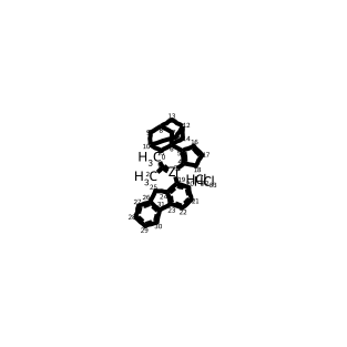 C[C](C)=[Zr]([C]1=C(C23CC4CC(CC(C4)C2)C3)C=CC1)[c]1cccc2c1Cc1ccccc1-2.Cl.Cl